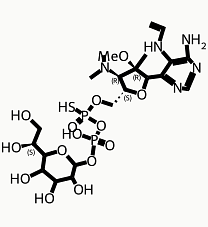 C=CNc1c(N)ncnc1C1O[C@H](COP(=O)(S)OP(=O)(O)OC2OC([C@@H](O)CO)C(O)C(O)C2O)[C@@H](N(C)C)[C@@]1(C)OC